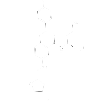 CSCC[C@H](NC(=O)c1cc(NC[C@@H]2C[C@H](S)CN2)ccc1CCc1ccc(F)cc1)C(=O)O